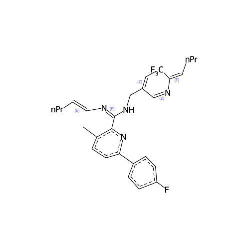 C\C=C(/C=N\C(=C\CCC)C(F)(F)F)CN/C(=N/C=C/CCC)c1nc(-c2ccc(F)cc2)ccc1C